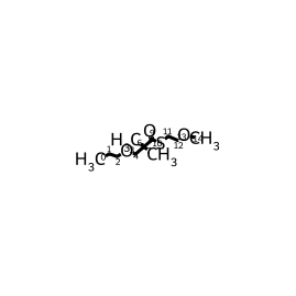 CCCOCC(C)(C)C(=O)SCCOC